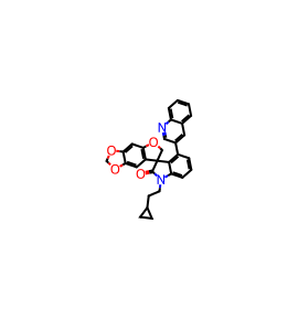 O=C1N(CCC2CC2)c2cccc(-c3cnc4ccccc4c3)c2C12COc1cc3c(cc12)OCO3